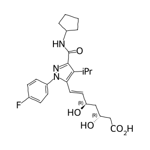 CC(C)c1c(C(=O)NC2CCCC2)nn(-c2ccc(F)cc2)c1C=C[C@H](O)C[C@@H](O)CC(=O)O